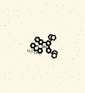 CC1(C)c2ccccc2N2c3c(cccc31)B1c3c(cc4ccccc4c32)-c2cc(C34CCCC(CCC3)C4)cc3c4cc(C56CCCC(CCC5)C6)ccc4n1c23